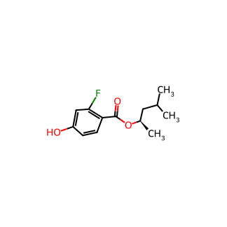 CC(C)C[C@@H](C)OC(=O)c1ccc(O)cc1F